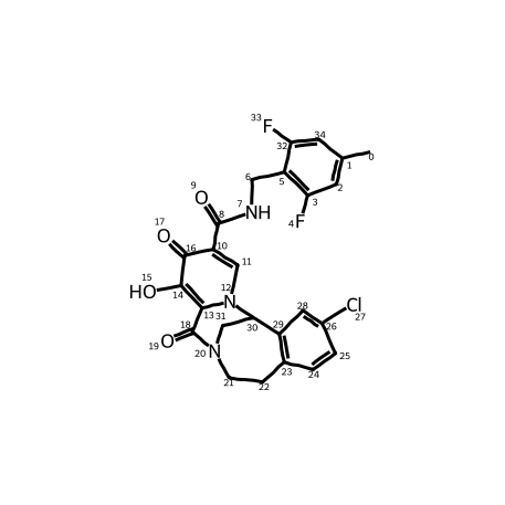 Cc1cc(F)c(CNC(=O)c2cn3c(c(O)c2=O)C(=O)N2CCc4ccc(Cl)cc4C3C2)c(F)c1